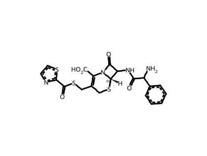 NC(C(=O)NC1C(=O)N2C(C(=O)O)=C(CSC(=O)c3nccs3)CS[C@@H]12)c1ccccc1